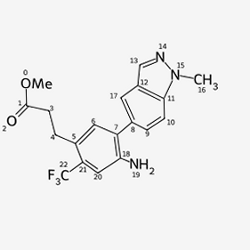 COC(=O)CCc1cc(-c2ccc3c(cnn3C)c2)c(N)cc1C(F)(F)F